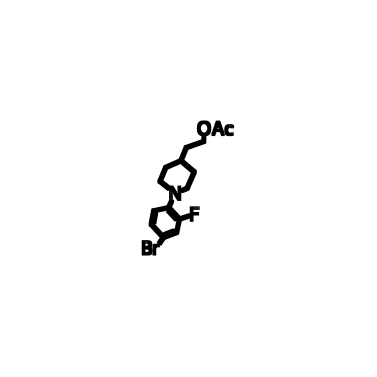 CC(=O)OCCC1CCN(c2ccc(Br)cc2F)CC1